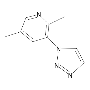 Cc1cnc(C)c(-n2ccnn2)c1